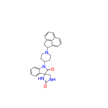 O=C1NCC2(N1)C(=O)N(C1CCN(C3Cc4cccc5cccc3c45)CC1)c1ccccc12